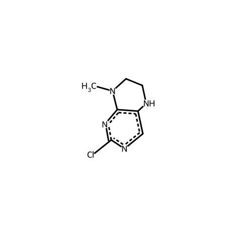 CN1CCNc2cnc(Cl)nc21